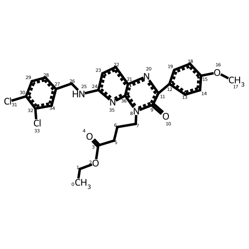 CCOC(=O)CCCn1c(=O)c(-c2ccc(OC)cc2)nc2ccc(NCc3ccc(Cl)c(Cl)c3)nc21